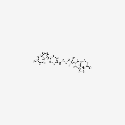 O=C1CCc2cc(C(F)(F)CCCCN3CCC(c4noc5cc(F)ccc45)CC3)cc3c2N1CC3